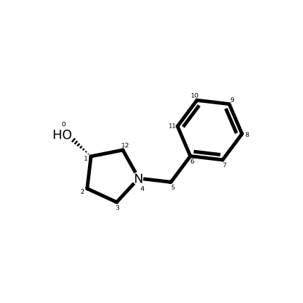 O[C@H]1CCN(Cc2ccccc2)C1